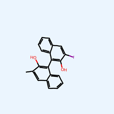 Cc1cc2ccccc2c(-c2c(O)c(I)cc3ccccc23)c1O